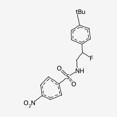 CC(C)(C)c1ccc(C(F)CNS(=O)(=O)c2ccc([N+](=O)[O-])cc2)cc1